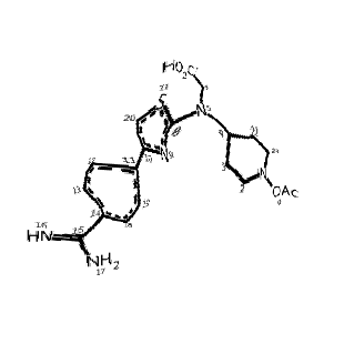 CC(=O)ON1CCC(N(CC(=O)O)c2nc(-c3ccc(C(=N)N)cc3)cs2)CC1